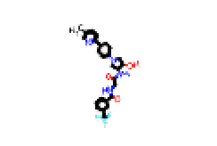 Cc1ccc(C2CCC(N3C[C@@H](O)[C@@H](NC(=O)CNC(=O)c4cccc(C(F)(F)F)c4)C3)CC2)nc1